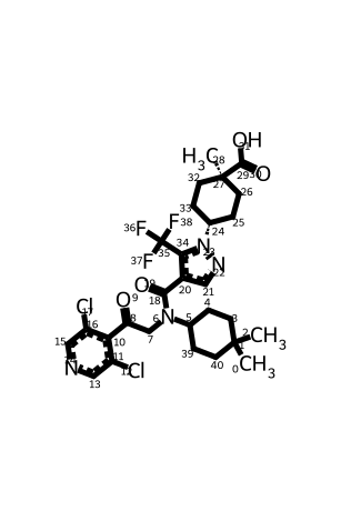 CC1(C)CCC(N(CC(=O)c2c(Cl)cncc2Cl)C(=O)c2cnn([C@H]3CC[C@](C)(C(=O)O)CC3)c2C(F)(F)F)CC1